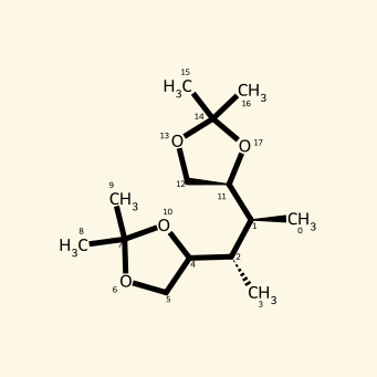 C[C@@H]([C@H](C)C1COC(C)(C)O1)[C@H]1COC(C)(C)O1